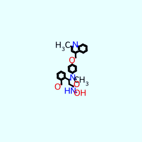 Cc1cc(COc2ccc(N(C)C(CC(=O)NO)c3ccccc3C=O)cc2)c2ccccc2n1